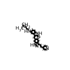 CN(C)CCCNc1ccc2c(c1)C(=Cc1ccc3c(C=Cc4ccncc4)n[nH]c3c1)C(=O)N2